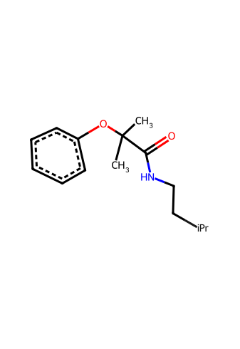 CC(C)CCNC(=O)C(C)(C)Oc1ccccc1